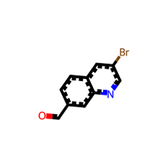 O=Cc1ccc2cc(Br)cnc2c1